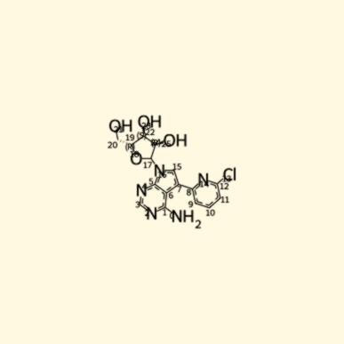 Nc1ncnc2c1c(-c1cccc(Cl)n1)cn2C1O[C@H](CO)[C@@H](O)[C@H]1O